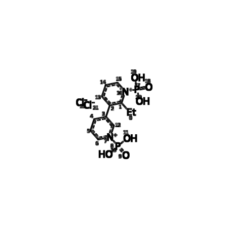 CCc1c(-c2ccc[n+](P(=O)(O)O)c2)ccc[n+]1P(=O)(O)O.[Cl-].[Cl-]